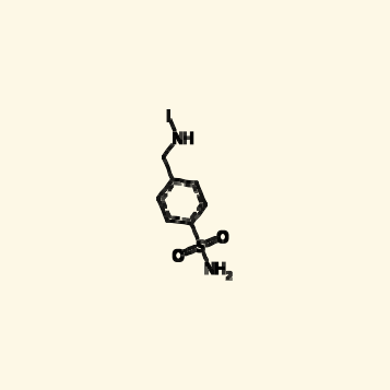 NS(=O)(=O)c1ccc(CNI)cc1